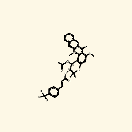 COc1cc2c(c3c1c(=O)c1cc4ccccc4cc1n3C)[C@H](OC(C)=O)[C@H](OC(=O)C=Cc1ccc(C(F)(F)F)cc1)C(C)(C)O2